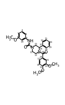 COc1cccc(NC(=O)N2CCN(C(=O)c3ccc(OC)c(OC)c3)C(c3ccccc3)C2)c1